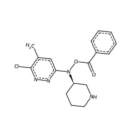 Cc1cc(N(OC(=O)c2ccccc2)[C@@H]2CCCNC2)nnc1Cl